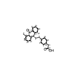 Cc1cc([C@H](CCc2ccc(CC(=O)O)cc2)c2ccccc2C=O)ccn1